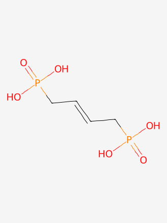 O=P(O)(O)CC=CCP(=O)(O)O